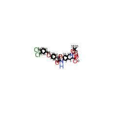 COC(=O)C1Cc2cc3c(cc2CN1C(=O)OC(C)(C)C)O[C@@H](c1ccc(OCc2ccc(Cl)c(Cl)c2)cc1)C(=O)N3